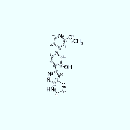 COc1cc(-c2ccc(-c3cc4c(nn3)NCCO4)c(O)c2)ccn1